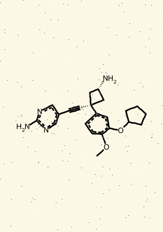 COc1ccc([C@]2(C#Cc3cnc(N)nc3)C[C@@H](N)C2)cc1OC1CCCC1